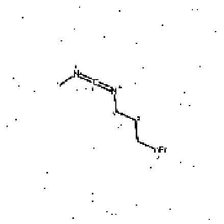 CCCCCCN=C=NC